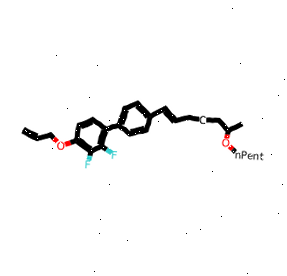 C=CCOc1ccc(-c2ccc(C=CCCCC(C)OCCCCC)cc2)c(F)c1F